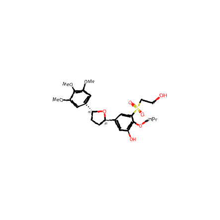 CCCOc1c(O)cc([C@H]2CC[C@H](c3cc(OC)c(OC)c(OC)c3)O2)cc1S(=O)(=O)CCO